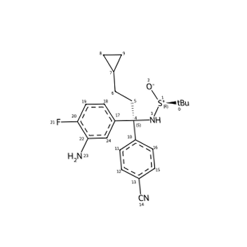 CC(C)(C)[S@+]([O-])N[C@@](CCC1CC1)(c1ccc(C#N)cc1)c1ccc(F)c(N)c1